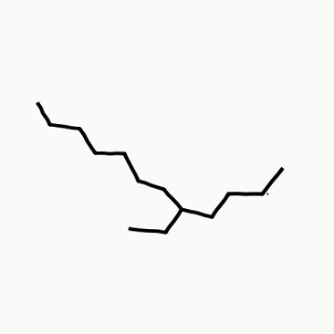 C[CH]CCC(CC)CCCCCCC